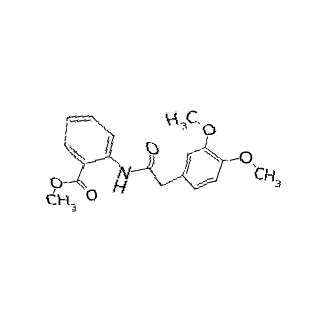 COC(=O)c1ccccc1NC(=O)Cc1ccc(OC)c(OC)c1